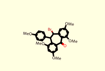 COc1ccc(C2c3c(OC)cc(OC)cc3C(=O)c3c(OC)cc(OC)cc3C2Br)cc1